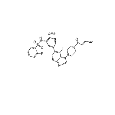 COc1ncc(-c2ccc3nccc(N4CCN(C(=O)C=CC(C)=O)CC4)c3c2F)cc1NS(=O)(=O)c1ccccc1F